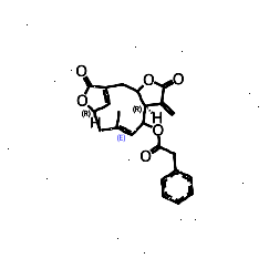 C=C1C(=O)OC2CC3=C[C@@H](C/C(C)=C/C(OC(=O)Cc4ccccc4)[C@H]12)OC3=O